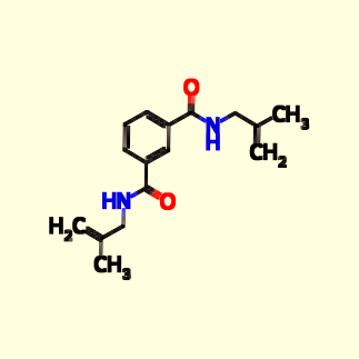 C=C(C)CNC(=O)c1cccc(C(=O)NCC(=C)C)c1